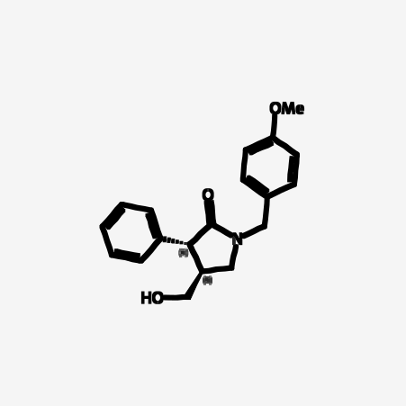 COc1ccc(CN2C[C@@H](CO)[C@H](c3ccccc3)C2=O)cc1